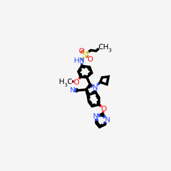 CCCS(=O)(=O)Nc1ccc(-c2c(C#N)c3ccc(Oc4ncccn4)cc3n2C2CCC2)c(OC)c1